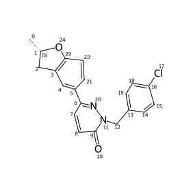 C[C@H]1Cc2cc(-c3ccc(=O)n(Cc4ccc(Cl)cc4)n3)ccc2O1